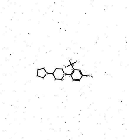 Nc1ccc(N2CCC(N3CCCC3)CC2)c(C(F)(F)F)c1